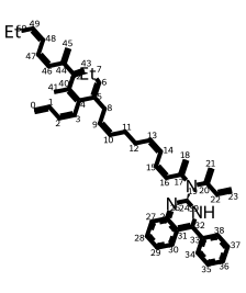 C=C\C=C/C(C(=C\CC)/C/C=C\CC/C=C\C=C/C(=C)N(C(=C)C=C)[C@H]1N=c2ccccc2=C(c2ccccc2)N1)=C(\C)C(=C)C(=C)/C=C\C=C/CC